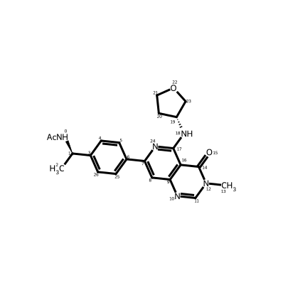 CC(=O)N[C@H](C)c1ccc(-c2cc3ncn(C)c(=O)c3c(N[C@@H]3CCOC3)n2)cc1